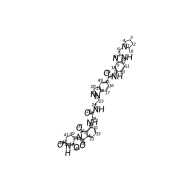 CC1CCCN1Cc1nc2cc(NC(=O)c3ccc4c(cnn4CCNC(=O)CNc4cccc5c4C(=O)N(C4CCC(=O)NC4=O)C5=O)c3)ccc2[nH]1